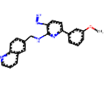 COc1cccc(-c2ccc(N=N)c(NCc3ccc4ncccc4c3)n2)c1